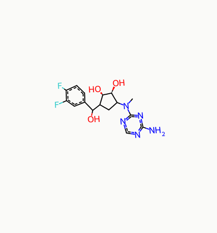 CN(c1ncnc(N)n1)C1CC(C(O)c2ccc(F)c(F)c2)[C@@H](O)[C@H]1O